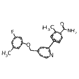 Cc1cc(F)cc(OCc2ccnc(-c3ccc(C(N)=O)c(C)c3)c2)c1